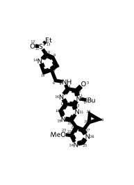 CCC(C)n1c(=O)c(NCc2ccc([S+]([O-])CC)nc2)nc2cnc(-c3c(OC)ncnc3C3CC3)nc21